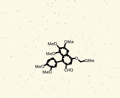 COCOc1cc(C=O)c(-c2ccc(OC)c(OC)c2)c2c(OC)c(OC)c(OC)cc12